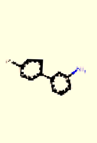 CC(C)c1ccc(-c2cccc(N)c2)cc1